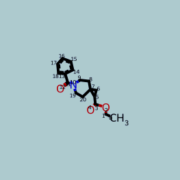 CCOC(=O)C1CC12CCN(C(=O)c1ccccc1)CC2